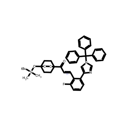 CC(C)(C)[Si](C)(C)OC12CCC(C(=O)/C=C/c3c(F)cccc3-c3cn(C(c4ccccc4)(c4ccccc4)c4ccccc4)cn3)(CC1)CC2